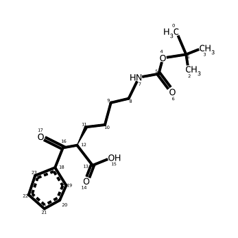 CC(C)(C)OC(=O)NCCCC[C@@H](C(=O)O)C(=O)c1ccccc1